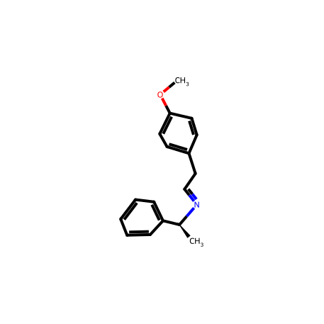 COc1ccc(CC=N[C@@H](C)c2ccccc2)cc1